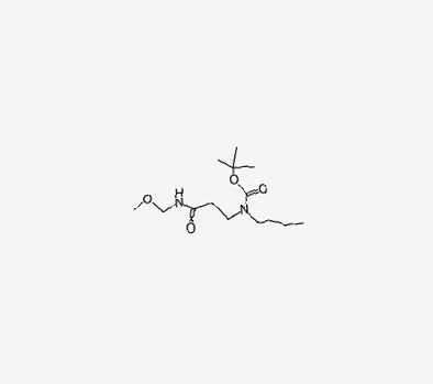 CCCCN(CCC(=O)NCOC)C(=O)OC(C)(C)C